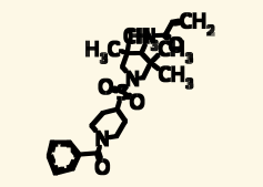 C=CC(=O)NC1C(C)(C)CN(S(=O)(=O)C2CCN(C(=O)c3ccccc3)CC2)CC1(C)C